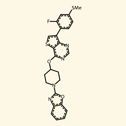 CSc1ccc(-c2csc3c(OC4CCN(c5nc6ccccc6o5)CC4)ncnc23)c(F)c1